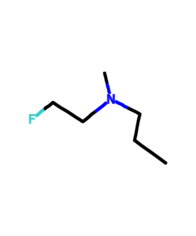 CCCN(C)CCF